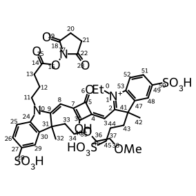 CC[N+]1=C(/C=C2\C(=O)C(/C=C3/N(CCCC(=O)ON4C(=O)CCC4=O)c4ccc(S(=O)(=O)O)cc4C3(C)CCOCCOC)=C2O)C(C)(CCCS(=O)(=O)O)c2cc(S(=O)(=O)O)ccc21